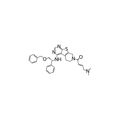 CN(C)C/C=C/C(=O)N1CCc2c(sc3ncnc(N[C@H](COCc4ccccc4)c4ccccc4)c23)C1